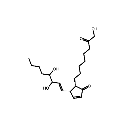 CCCCC(O)C(O)/C=C/[C@H]1C=CC(=O)[C@@H]1CCCCCCC(=O)CO